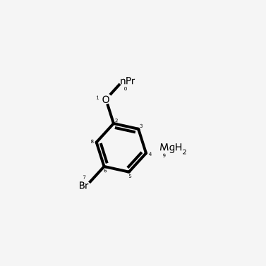 CCCOc1cccc(Br)c1.[MgH2]